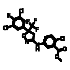 COC(=O)c1cc(NC2=NOC(c3cc(Cl)c(F)c(Cl)c3)(C(F)(F)F)C2)ccc1Cl